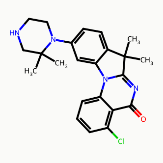 CC1(C)c2ccc(N3CCNCC3(C)C)cc2-n2c1nc(=O)c1c(Cl)cccc12